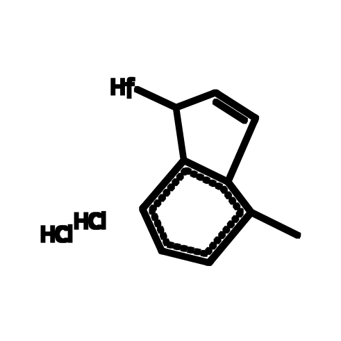 Cc1cccc2c1C=C[CH]2[Hf].Cl.Cl